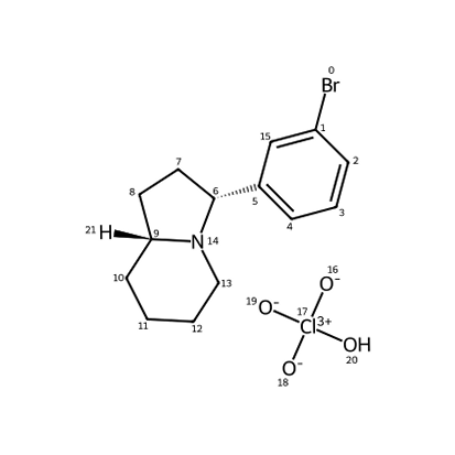 Brc1cccc([C@H]2CC[C@H]3CCCCN32)c1.[O-][Cl+3]([O-])([O-])O